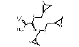 C(OCC1CO1)C1CO1.C=C(C)C(=O)OCC1CO1